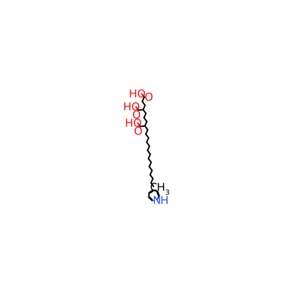 C1=CC=CNC=C1.CCCCCCCCCCCCCCCC(CCCC(CCC(=O)O)C(=O)O)C(=O)O